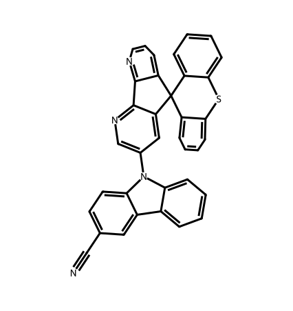 N#Cc1ccc2c(c1)c1ccccc1n2-c1cnc2c(c1)C1(c3ccccc3Sc3ccccc31)c1cccnc1-2